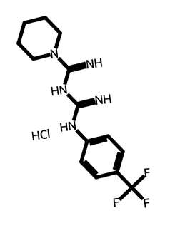 Cl.N=C(NC(=N)N1CCCCC1)Nc1ccc(C(F)(F)F)cc1